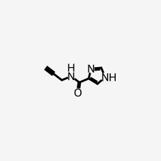 C#CCNC(=O)c1c[nH]cn1